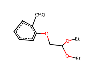 CCOC(COc1ccccc1C=O)OCC